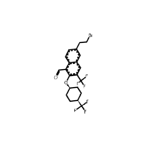 O=Cc1c(O[C@H]2CC[C@@H](C(F)(F)F)CC2)c(C(F)(F)F)cc2cc(CCBr)ccc12